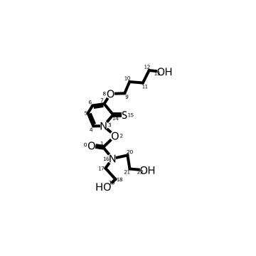 O=C(On1cccc(OCCCCO)c1=S)N(CCO)CCO